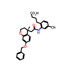 C[C@]1(CC(=O)Nc2cc(C#N)ccc2CCCC(=O)O)CCOc2cc(OCc3ccccc3)ccc21